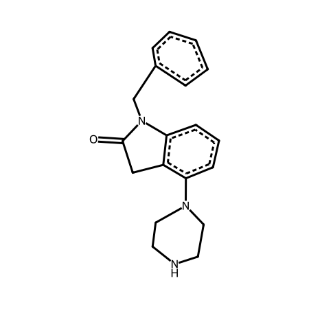 O=C1Cc2c(N3CCNCC3)cccc2N1Cc1ccccc1